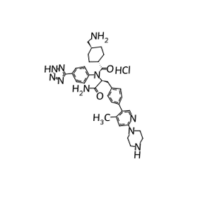 Cc1cc(N2CCNCC2)ncc1-c1ccc(C[C@@H](C(N)=O)N(c2ccc(-c3nn[nH]n3)cc2)C(=O)[C@H]2CC[C@H](CN)CC2)cc1.Cl